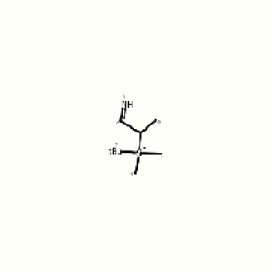 CC(C=N)[Si](C)(C)C(C)(C)C